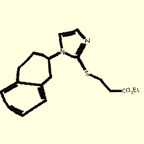 CCOC(=O)CCSc1nccn1C1CCc2ccccc2C1